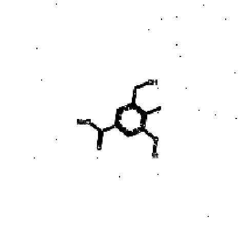 CCOc1cc(C(=O)OC)cc(CO)c1C